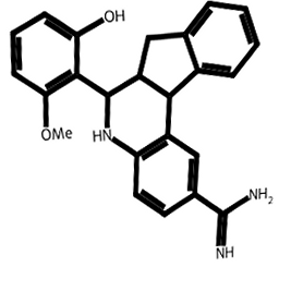 COc1cccc(O)c1C1Nc2ccc(C(=N)N)cc2C2c3ccccc3CC12